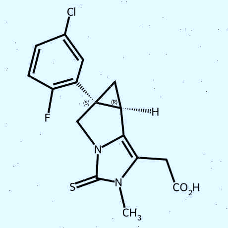 Cn1c(CC(=O)O)c2n(c1=S)C[C@@]1(c3cc(Cl)ccc3F)C[C@@H]21